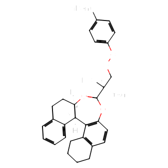 CCCCCc1ccc(OOC[C@](C)(C2Oc3ccc4c(c3[C@H]3c5ccccc5CC[C@H]3O2)CCCC4)C(C)(C)C)cc1